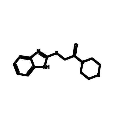 O=C(CSc1nc2ccccc2[nH]1)N1CCSCC1